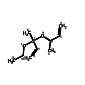 C=CC(C)O[Si](C)(C=C)OCC